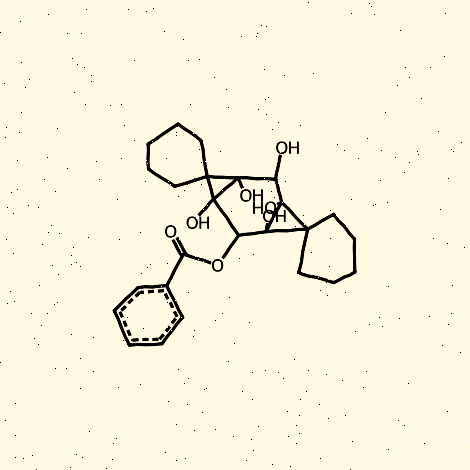 O=C(OC1C2(O)C3(CCCCC3)C2(O)C(O)C2(O)C3(CCCCC3)C12O)c1ccccc1